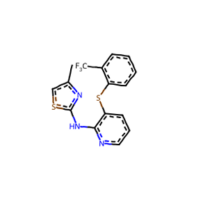 Cc1csc(Nc2ncccc2Sc2ccccc2C(F)(F)F)n1